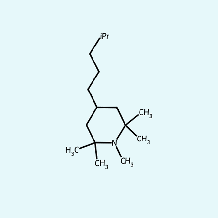 CC(C)CCCC1CC(C)(C)N(C)C(C)(C)C1